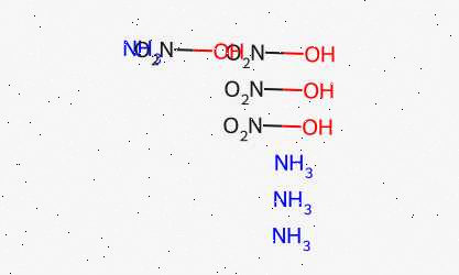 N.N.N.N.O=[N+]([O-])O.O=[N+]([O-])O.O=[N+]([O-])O.O=[N+]([O-])O